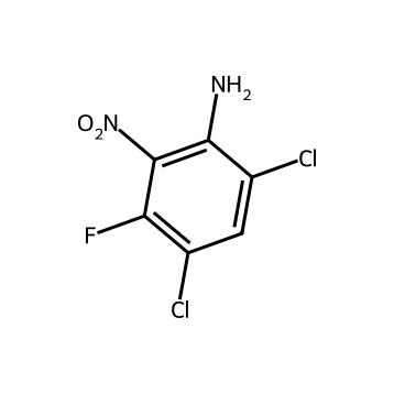 Nc1c(Cl)cc(Cl)c(F)c1[N+](=O)[O-]